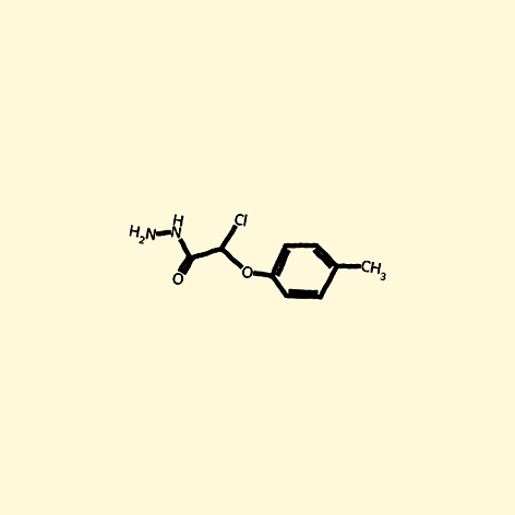 Cc1ccc(OC(Cl)C(=O)NN)cc1